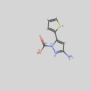 Nc1cc(-c2cccs2)n(C(=O)O)n1